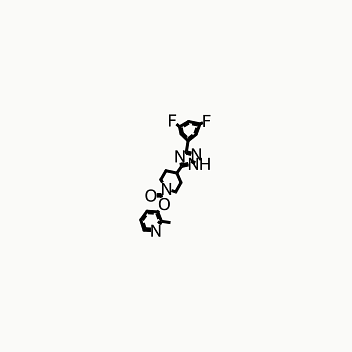 Cc1ncccc1OC(=O)N1CCC(c2nc(-c3cc(F)cc(F)c3)n[nH]2)CC1